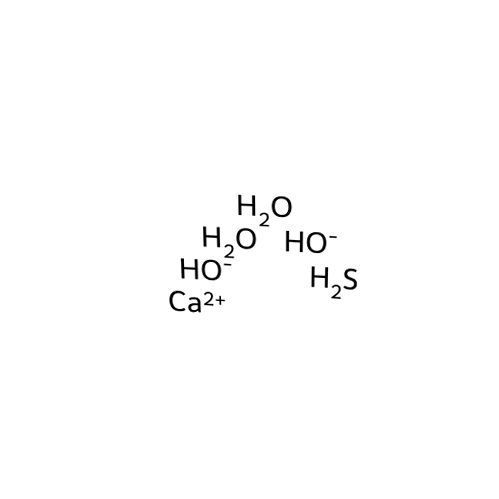 O.O.S.[Ca+2].[OH-].[OH-]